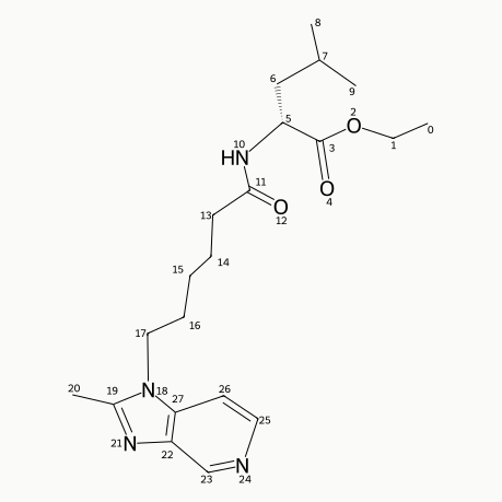 CCOC(=O)[C@@H](CC(C)C)NC(=O)CCCCCn1c(C)nc2cnccc21